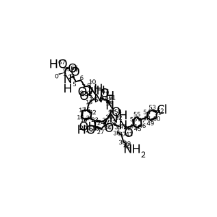 C[C@H](NC(=O)CCC(=O)[C@H](C)NC(=O)[C@@H]1Cc2ccc(O)c(c2)-c2cc(ccc2O)[C@H](N(C)C(=O)[C@H](CCCCN)NC(=O)c2ccc(-c3ccc(Cl)cc3)cc2)C(=O)N[C@@H](C)C(=O)N1)C(=O)O